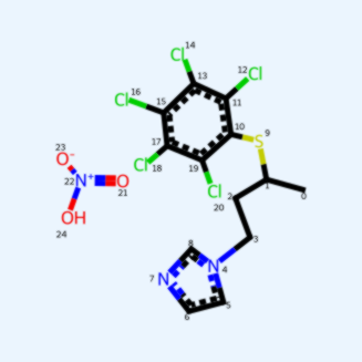 CC(CCn1ccnc1)Sc1c(Cl)c(Cl)c(Cl)c(Cl)c1Cl.O=[N+]([O-])O